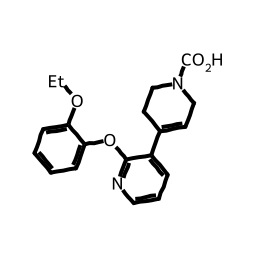 CCOc1ccccc1Oc1ncccc1C1=CCN(C(=O)O)CC1